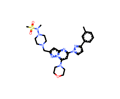 Cc1cccc(-c2ccn(-c3cc(N4CCOCC4)n4nc(CN5CCN(N(C)S(C)(=O)=O)CC5)cc4n3)n2)c1